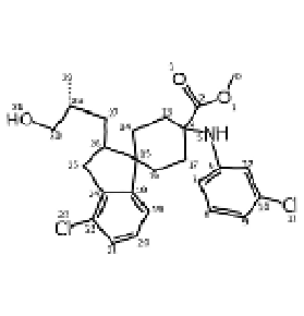 COC(=O)C1(Nc2cccc(Cl)c2)CCC2(CC1)c1cccc(Cl)c1CC2C[C@@H](C)CO